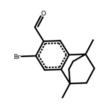 CC12CCC(C)(CC1)c1cc(C=O)c(Br)cc12